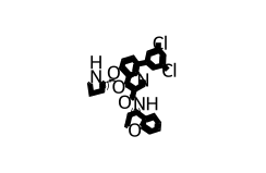 O=C(N[C@H]1CCOc2ccccc21)c1cnc2c(-c3cc(Cl)cc(Cl)c3)cccc2c1OC(=O)[C@@H]1CCCN1